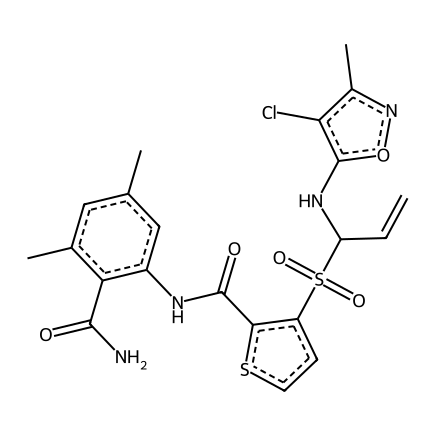 C=CC(Nc1onc(C)c1Cl)S(=O)(=O)c1ccsc1C(=O)Nc1cc(C)cc(C)c1C(N)=O